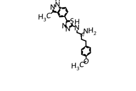 COc1ccc(CC[C@H](N)CNc2nnc(-c3ccc4[nH]nc(C)c4c3)s2)cc1